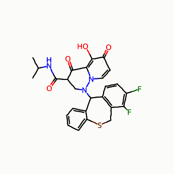 CC(C)NC(=O)C1CN(C2c3ccccc3SCc3c2ccc(F)c3F)n2ccc(=O)c(O)c2C1=O